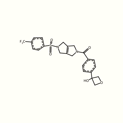 O=C(c1ccc(C2(O)COC2)cc1)N1CC2=C(C1)CN(S(=O)(=O)c1ccc(C(F)(F)F)cc1)C2